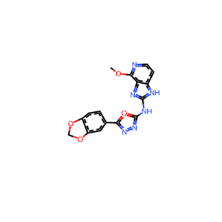 COc1nccc2[nH]c(Nc3nnc(-c4ccc5c(c4)OCO5)o3)nc12